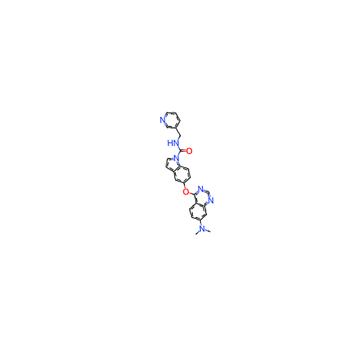 CN(C)c1ccc2c(Oc3ccc4c(ccn4C(=O)NCc4cccnc4)c3)ncnc2c1